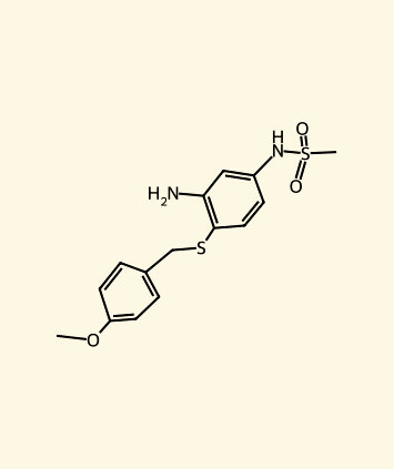 COc1ccc(CSc2ccc(NS(C)(=O)=O)cc2N)cc1